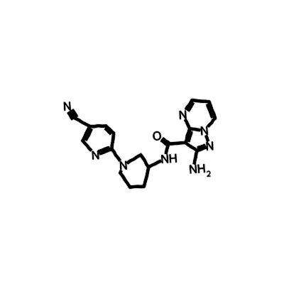 N#Cc1ccc(N2CCCC(NC(=O)c3c(N)nn4cccnc34)C2)nc1